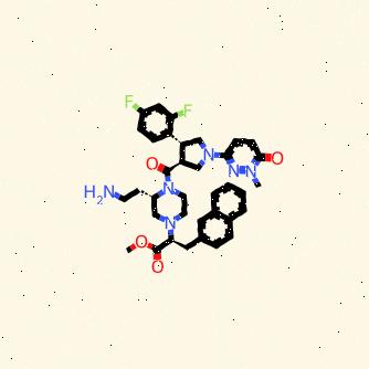 COC(=O)[C@H](Cc1ccc2ccccc2c1)N1CCN(C(=O)[C@@H]2CN(c3ccc(=O)n(C)n3)C[C@H]2c2ccc(F)cc2F)[C@@H](CCN)C1